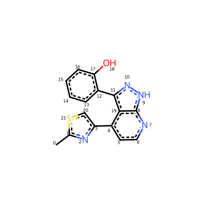 Cc1nc(-c2ccnc3[nH]nc(-c4ccccc4O)c23)cs1